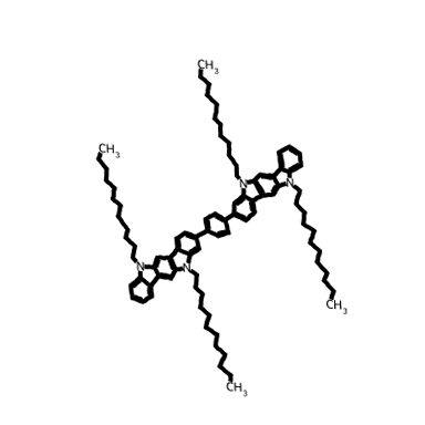 CCCCCCCCCCCCn1c2ccccc2c2cc3c(cc21)c1ccc(-c2ccc(-c4ccc5c6cc7c(cc6n(CCCCCCCCCCCC)c5c4)c4ccccc4n7CCCCCCCCCCCC)cc2)cc1n3CCCCCCCCCCCC